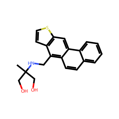 CC(CO)(CO)NCc1c2ccsc2cc2c1ccc1ccccc12